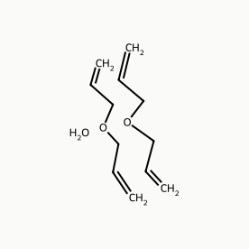 C=CCOCC=C.C=CCOCC=C.O